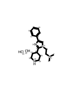 CN(C)CCn1cc(-c2ccccc2)nc1C1CCNCC1.Cl.Cl